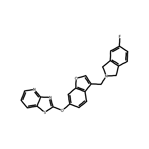 Fc1ccc2c(c1)CN(Cc1coc3cc(Oc4nc5ncccc5s4)ccc13)C2